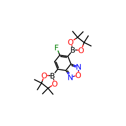 CC1(C)OB(c2cc(F)c(B3OC(C)(C)C(C)(C)O3)c3nonc23)OC1(C)C